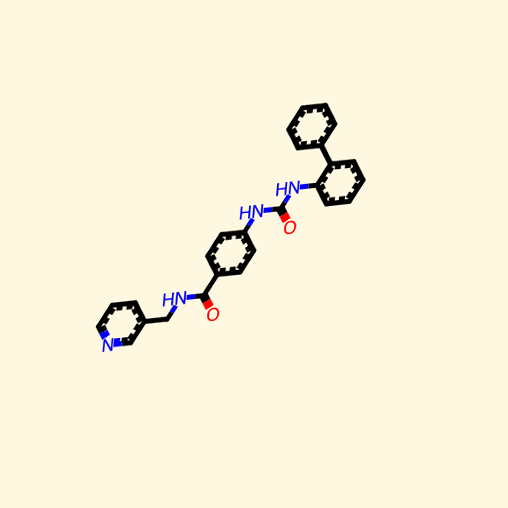 O=C(Nc1ccc(C(=O)NCc2cccnc2)cc1)Nc1ccccc1-c1ccccc1